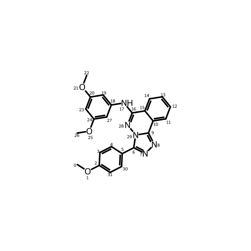 COc1ccc(-c2nnc3c4ccccc4c(Nc4cc(OC)cc(OC)c4)nn23)cc1